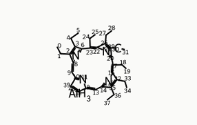 CCC1=C(CC)C2=NC1=CC1=NC(=CC3=NC(=C(CC)C4=NC(=C2CC)C(CC)=C4CC)C(CC)=C3CC)C=C1.[AlH3]